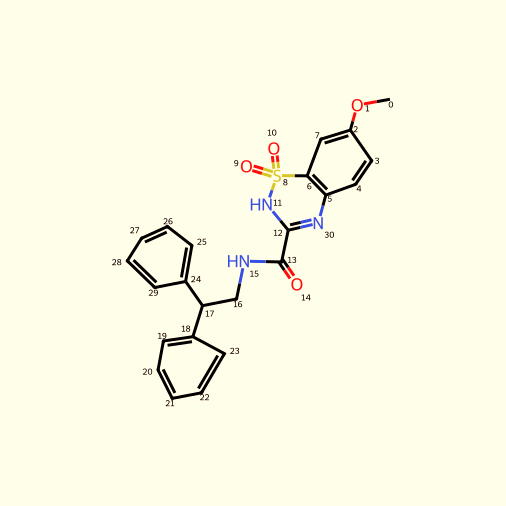 COc1ccc2c(c1)S(=O)(=O)NC(C(=O)NCC(c1ccccc1)c1ccccc1)=N2